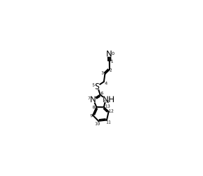 N#CC=CCSc1nc2ccccc2[nH]1